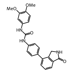 COc1ccc(NC(=O)Nc2ccc(-c3cccc4c3CNC4=O)cc2)cc1OC